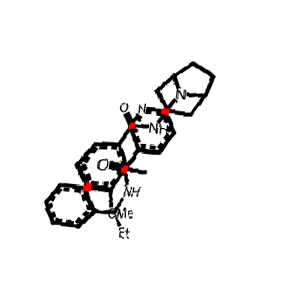 CC[C@H](NC(=O)c1ccc(N2C3CCC2CC(NC(=O)c2cccc(OC)c2C)C3)nc1)c1ccccc1